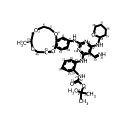 C[C@H]1COCCOc2cc(Nc3nc(Nc4ccccc4NC(=O)OC(C)(C)C)c(C=N)c(NC4CCCCO4)n3)ccc2OCCO1